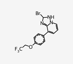 FC(F)(F)COc1ccc(C2=CC=CN3NC(Br)N=C23)cc1